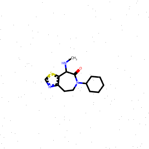 CNC1C(=O)N(C2CCCCC2)CCc2ncsc21